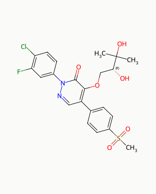 CC(C)(O)[C@H](O)COc1c(-c2ccc(S(C)(=O)=O)cc2)cnn(-c2ccc(Cl)c(F)c2)c1=O